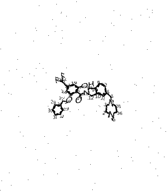 CN1CCN(Cc2ccc3c(c2)CN(C(=O)c2c(O)cc(C(F)F)cc2OCc2ccccc2)C3)CC1